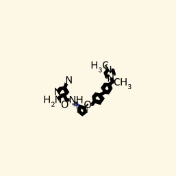 CC(c1ccc(-c2ccc(CO[C@H]3CCC[C@@H]3/C=C/NC(=O)c3cc(C#N)cnc3N)cc2)cc1)N1CCN(C)CC1